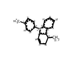 Cc1ccc(-n2c3c(c4ccccc42)C(C)CC=C3)cc1